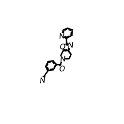 N#Cc1cccc(C(=O)N2CCc3nc(-c4ccccn4)oc3C2)c1